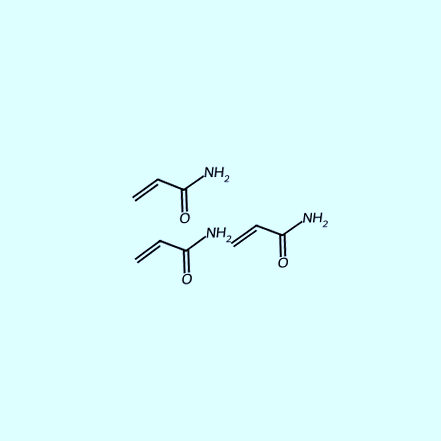 C=CC(N)=O.C=CC(N)=O.C=CC(N)=O